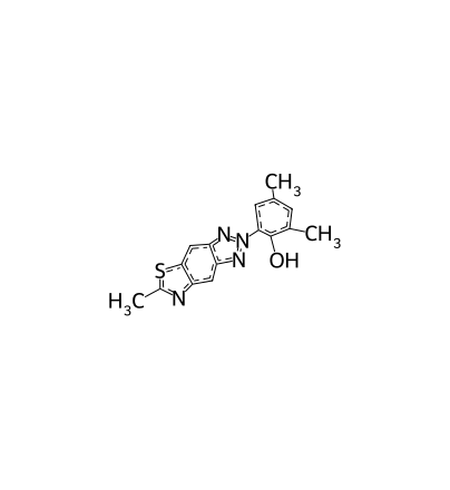 Cc1cc(C)c(O)c(-n2nc3cc4nc(C)sc4cc3n2)c1